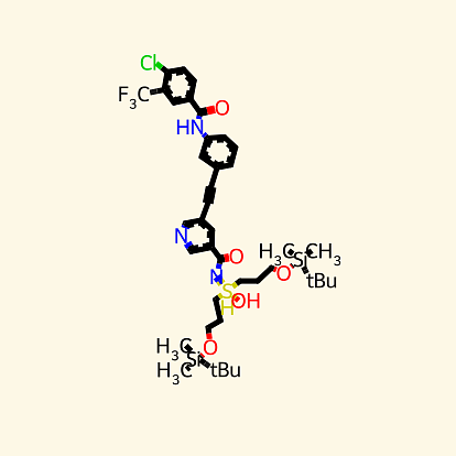 CC(C)(C)[Si](C)(C)OCCC[SH](O)(CCCO[Si](C)(C)C(C)(C)C)=NC(=O)c1cncc(C#Cc2cccc(NC(=O)c3ccc(Cl)c(C(F)(F)F)c3)c2)c1